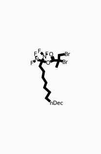 CCCCCCCCCCCCCCCCCC(OC(=O)C(C)(Br)CBr)(N(F)F)N(F)F